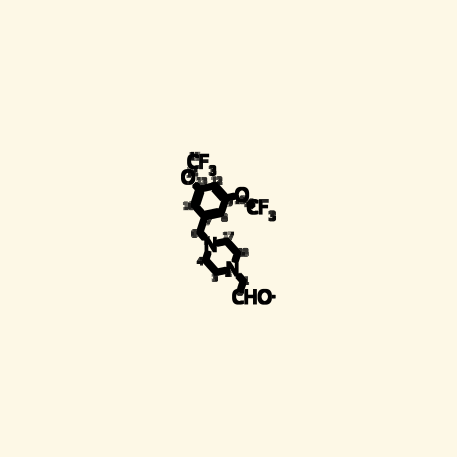 O=[C]CN1CCN(Cc2cc(OC(F)(F)F)cc(OC(F)(F)F)c2)CC1